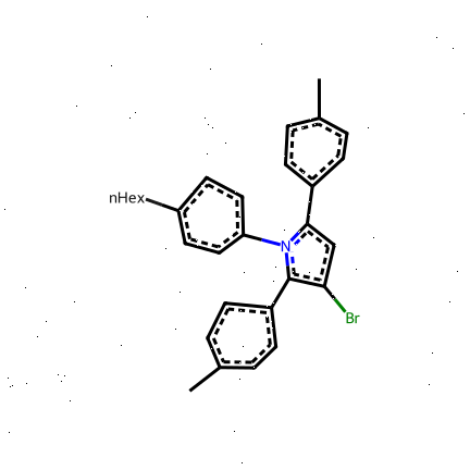 CCCCCCc1ccc(-n2c(-c3ccc(C)cc3)cc(Br)c2-c2ccc(C)cc2)cc1